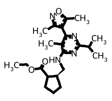 CCOC(=O)C1CCC[C@@H]1CNc1nc(C(C)C)nc(-c2c(C)noc2C)c1C